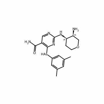 Cc1cc(C)cc([AsH]c2nc(N[C@@H]3CCOC[C@@H]3N)ncc2C(N)=O)c1